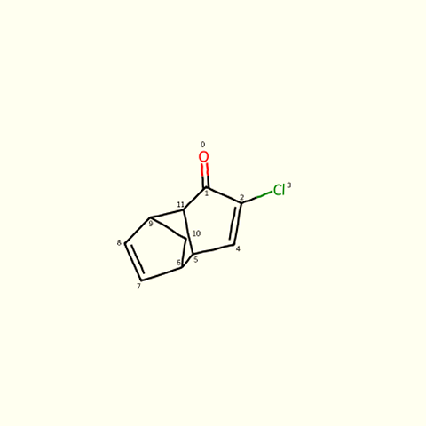 O=C1C(Cl)=CC2C3C=CC(C3)C12